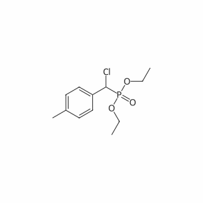 CCOP(=O)(OCC)C(Cl)c1ccc(C)cc1